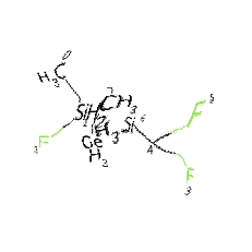 C[SiH2]F.FC(F)[SiH3].[CH3][GeH3]